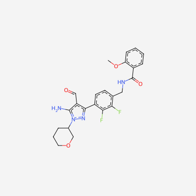 COc1ccccc1C(=O)NCc1ccc(-c2nn(C3CCCOC3)c(N)c2C=O)c(F)c1F